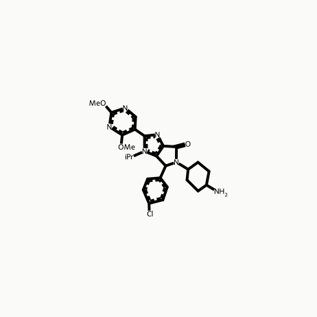 COc1ncc(-c2nc3c(n2C(C)C)C(c2ccc(Cl)cc2)N(C2CCC(N)CC2)C3=O)c(OC)n1